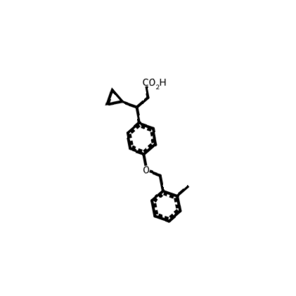 Cc1ccccc1COc1ccc(C(CC(=O)O)C2CC2)cc1